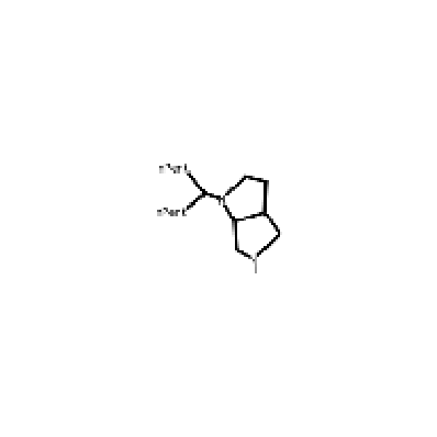 CCCCCC(CCCCC)N1CCC2CNCC21